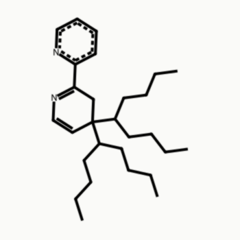 CCCCC(CCCC)C1(C(CCCC)CCCC)C=CN=C(c2ccccn2)C1